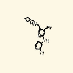 CC(C)c1cc(Nc2cccc(Cl)c2)ncc1CNCC1CCC1